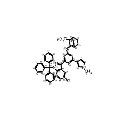 Cn1ccc(-c2cc(NC3C4CCC(CC4)C3C(=O)O)nc(-c3nn(C(c4ccccc4)(c4ccccc4)c4ccccc4)c4ncc(Cl)cc34)n2)c1